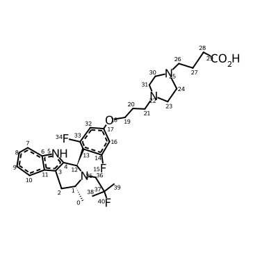 C[C@@H]1Cc2c([nH]c3ccccc23)[C@@H](c2c(F)cc(OCCCN3CCN(CCCC(=O)O)CC3)cc2F)N1CC(C)(C)F